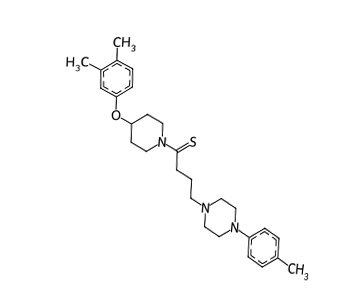 Cc1ccc(N2CCN(CCCC(=S)N3CCC(Oc4ccc(C)c(C)c4)CC3)CC2)cc1